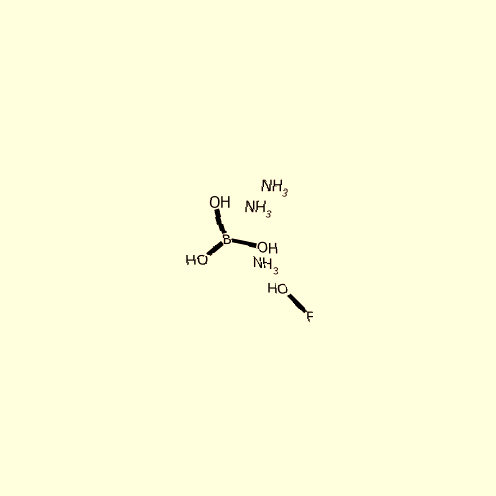 N.N.N.OB(O)O.OF